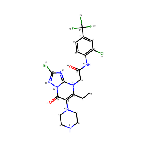 CCc1c(N2CCNCC2)c(=O)n2nc(Br)nc2n1CC(=O)Nc1ccc(C(F)(F)F)cc1Cl